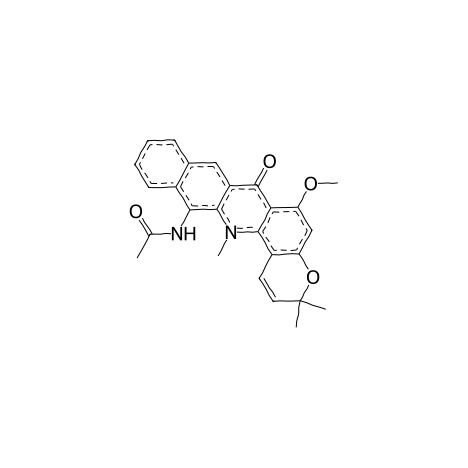 COc1cc2c(c3c1c(=O)c1cc4ccccc4c(NC(C)=O)c1n3C)C=CC(C)(C)O2